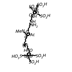 CNCCCc1c(OCCCC/C(N)=C/NCCCNC(=O)c2cc(OCCCS(=O)(=O)O)c(OCCCS(=O)(=O)O)c(OCCCS(=O)(=O)O)c2)cc(C(C)=O)cc1OCCCCc1cn(CCCNC(=O)c2cc(OCCCS(=O)(=O)O)c(OCCCS(=O)(=O)O)c(OCCCS(=O)(=O)O)c2)nn1